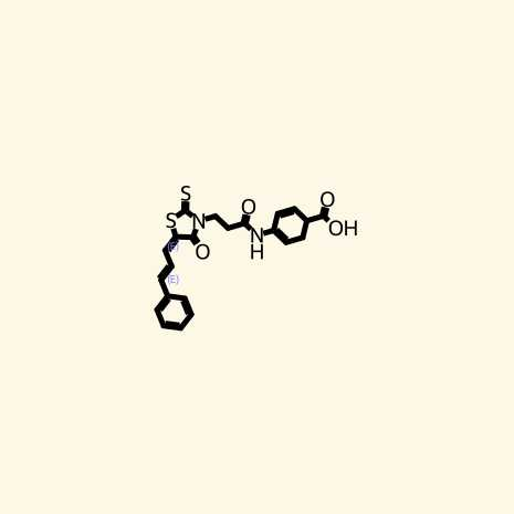 O=C(CCN1C(=O)/C(=C\C=C\c2ccccc2)SC1=S)NC1=CCC(C(=O)O)C=C1